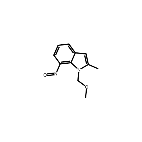 COCn1c(C)cc2cccc(N=O)c21